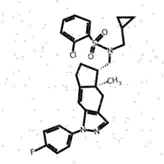 C[C@]12Cc3cnn(-c4ccc(F)cc4)c3C=C1CC[C@@H]2CN(CC1CC1)S(=O)(=O)c1ccccc1Cl